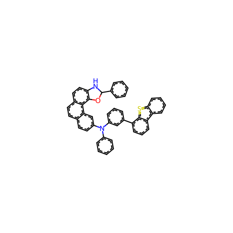 c1ccc(C2Nc3ccc4ccc5ccc(N(c6ccccc6)c6cccc(-c7cccc8c7sc7ccccc78)c6)cc5c4c3O2)cc1